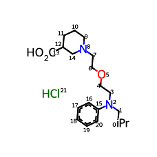 CC(C)CN(CCOCCN1CCCC(C(=O)O)C1)c1ccccc1.Cl